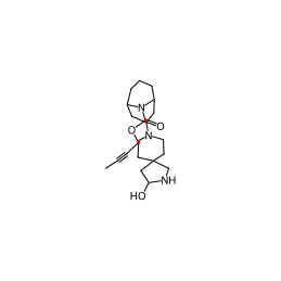 CC#CCOC(=O)N1C2CCCC1CC(N1CCC3(CC1)CNC(O)C3)C2